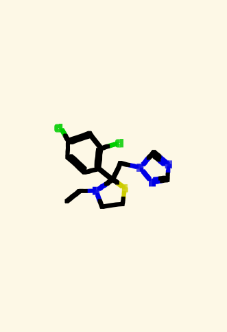 CCN1CCSC1(Cn1cncn1)c1ccc(Cl)cc1Cl